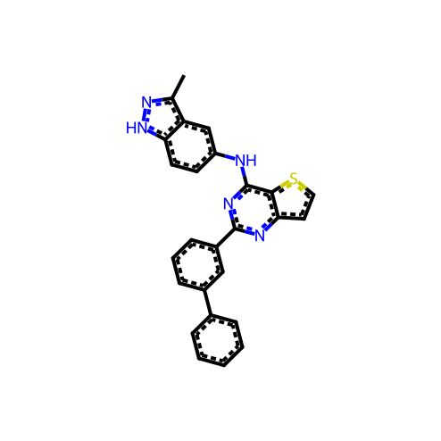 Cc1n[nH]c2ccc(Nc3nc(-c4cccc(-c5ccccc5)c4)nc4ccsc34)cc12